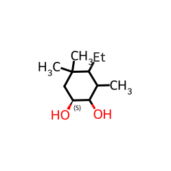 CCC1C(C)C(O)[C@@H](O)CC1(C)C